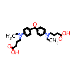 CCN(CCCC(=O)O)c1ccc(C(=O)c2ccc(N(CC)CCCC(=O)O)cc2)cc1